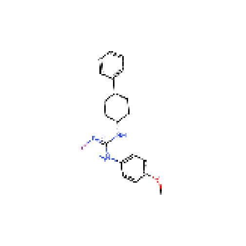 COc1ccc(N/C(=N\I)NC2CCC(c3ccccc3)CC2)cc1